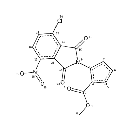 COC(=O)c1sccc1N1C(=O)c2c(Cl)ccc([N+](=O)[O-])c2C1=O